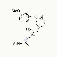 COc1cc(CC2CN(C/C(S)=C/N=C(\I)NC(C)=O)CCN2C)ccn1